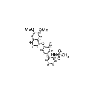 COc1cc2nccc(Oc3ccc(-c4ccccc4NS(C)(=O)=O)cc3F)c2cc1OC